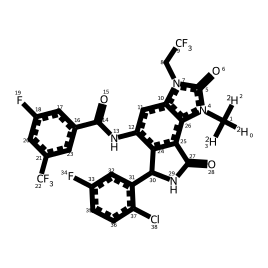 [2H]C([2H])([2H])n1c(=O)n(CC(F)(F)F)c2cc(NC(=O)c3cc(F)cc(C(F)(F)F)c3)c3c(c21)C(=O)NC3c1cc(F)ccc1Cl